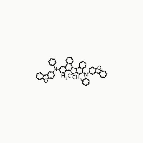 CC1(C)c2cc(N(c3ccccc3)c3ccc4oc5ccccc5c4c3)c3ccccc3c2-c2c1c1ccc(N(c3ccccc3)c3ccc4oc5ccccc5c4c3)cc1c1ccccc21